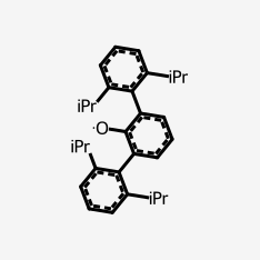 CC(C)c1cccc(C(C)C)c1-c1cccc(-c2c(C(C)C)cccc2C(C)C)c1[O]